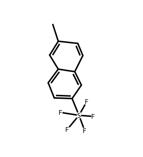 Cc1ccc2cc(S(F)(F)(F)(F)F)ccc2c1